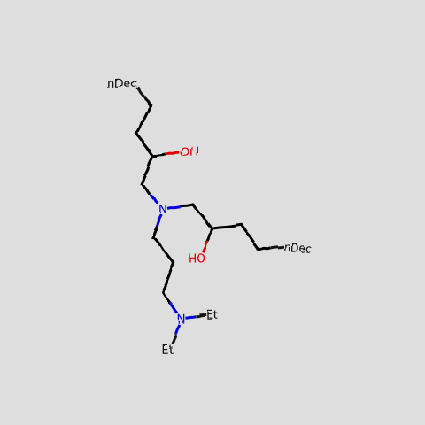 CCCCCCCCCCCCC(O)CN(CCCN(CC)CC)CC(O)CCCCCCCCCCCC